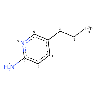 C[C](C)CCc1ccc(N)nc1